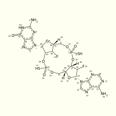 Nc1nc2c(ncn2[C@@H]2O[C@@H]3COP(=O)(S)O[C@@H]4C(F)[C@H](n5cnc6c(N)ncnc65)O[C@@H]4COP(=O)(S)OC2C3F)c(=O)[nH]1